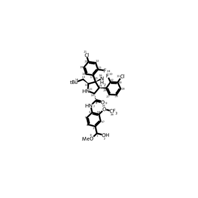 COC(O)c1ccc(NC(=O)[C@@H]2N[C@@H](CC(C)(C)C)[C@](N)(c3ccc(Cl)cc3F)[C@H]2c2cccc(Cl)c2F)c(OC(F)(F)F)c1